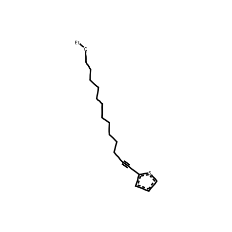 CCOCCCCCCCCCCCC#Cc1cccs1